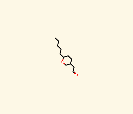 CCCCCC1CCC(CC=O)CO1